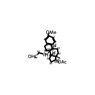 COc1ccc2c(c1)C[C@@H](CCC=O)[C@@H]1[C@@H]2CC[C@]2(C)[C@@H](OC(C)=O)CC[C@@H]12